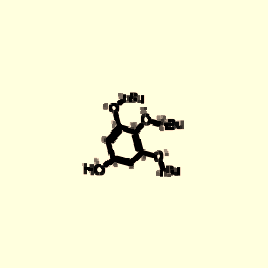 CCCCOc1cc(O)cc(OCCCC)c1OCCCC